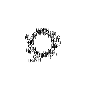 CC(C)CC1NC(=O)[C@H](Cc2ccccc2)N(C)C(=O)[C@H](CC(C)C)N(C)C(=O)[C@H](COCC(=O)NC(C)(C)C)NC(=O)[C@H](CC(C)C)N(C)C(=O)C[C@@H](C(=O)N2CCCCC2)NC(=O)[C@H](C)N(C)C(=O)CN(C)C(=O)[C@H]([C@@H](C)O)NC(=O)[C@H](CC(C)C)N(C)C(=O)[C@H](CCc2ccccc2)N(C)C1=O